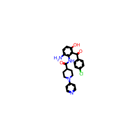 Nc1ccc(O)c(C(=O)c2ccc(Cl)cc2)c1NC(=O)C1CCN(c2ccncc2)CC1